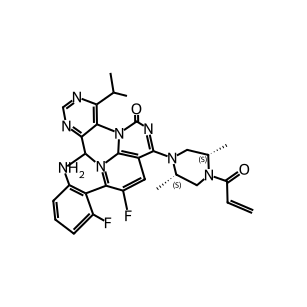 C=CC(=O)N1C[C@H](C)N(c2nc(=O)n(-c3c(C(C)C)ncnc3C(C)C)c3nc(-c4c(N)cccc4F)c(F)cc23)C[C@@H]1C